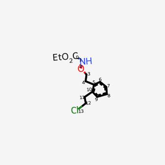 CCOC(=O)NOCCc1ccccc1CCCl